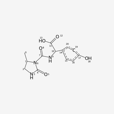 CC1CNC(=O)N1C(=O)NC(C(=O)O)c1ccc(O)cc1